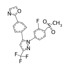 CS(=O)(=O)c1ccc(-n2nc(C(F)(F)F)cc2-c2ccc(-c3ncco3)cc2)cc1F